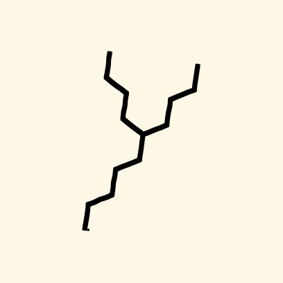 [CH2]CCCCC(CCCC)CCCC